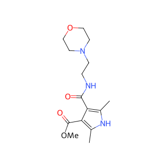 COC(=O)c1c(C)[nH]c(C)c1C(=O)NCCN1CCOCC1